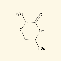 CCCCC1COC(CCCC)C(=O)N1